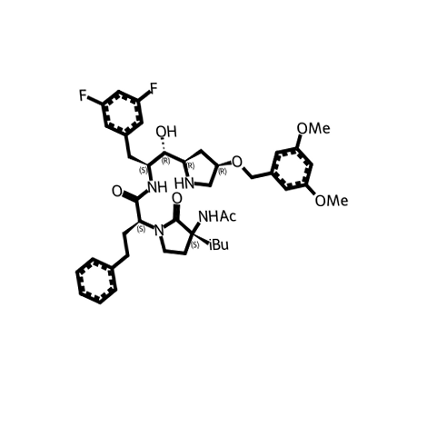 CCC(C)[C@@]1(NC(C)=O)CCN([C@@H](CCc2ccccc2)C(=O)N[C@@H](Cc2cc(F)cc(F)c2)[C@H](O)[C@H]2C[C@@H](OCc3cc(OC)cc(OC)c3)CN2)C1=O